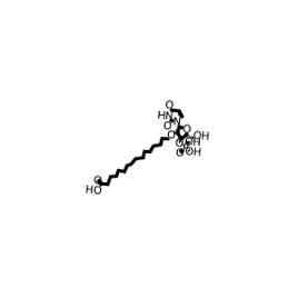 O=C(O)CCCCCCCCCCCCCCCO[C@@H]1[C@H](OP(=O)(O)O)[C@@H](CO)O[C@H]1n1ccc(=O)[nH]c1=O